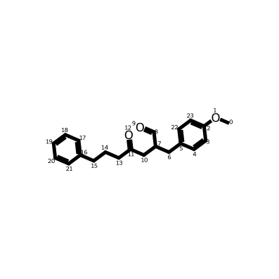 COc1ccc(CC(C=O)CC(=O)CCCc2ccccc2)cc1